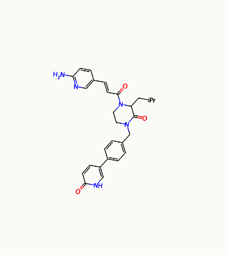 CC(C)CC1C(=O)N(Cc2ccc(-c3ccc(=O)[nH]c3)cc2)CCN1C(=O)/C=C/c1ccc(N)nc1